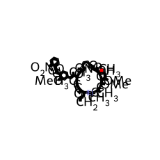 C=CCC1/C=C(\C)CC(C)CC(OC)C2OC(O)(C(=O)C(=O)N3CCCCC3C(=O)OC(C(C)=CC3CCC(OS(=O)(=O)c4ccccc4[N+](=O)[O-])C(OC)C3)C(C)CCC1=O)C(C)CC2OC